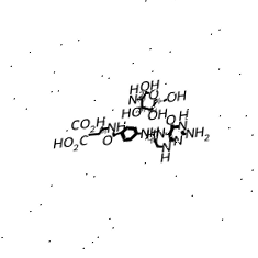 N[C@H]1C(O)O[C@H](CO)[C@@H](O)[C@@H]1O.Nc1nc2c(c(=O)[nH]1)N[C@@H](CNc1ccc(C(=O)N[C@@H](CCC(=O)O)C(=O)O)cc1)CN2